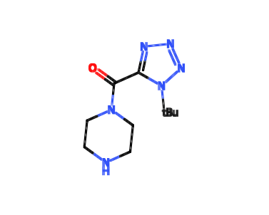 CC(C)(C)n1nnnc1C(=O)N1CCNCC1